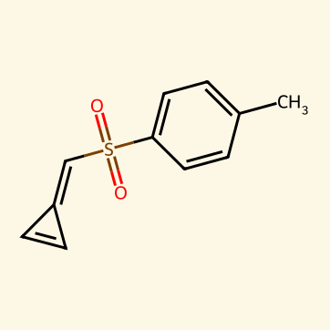 Cc1ccc(S(=O)(=O)C=C2C=C2)cc1